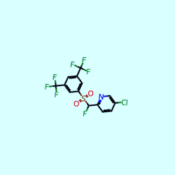 O=S(=O)(c1cc(C(F)(F)F)cc(C(F)(F)F)c1)C(F)c1ccc(Cl)cn1